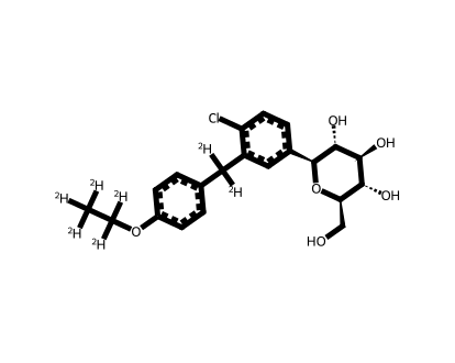 [2H]C([2H])(c1ccc(OC([2H])([2H])C([2H])([2H])[2H])cc1)c1cc([C@@H]2O[C@H](CO)[C@@H](O)[C@H](O)[C@H]2O)ccc1Cl